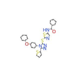 O=C(Nc1cnc(Sc2nnc(-c3cccs3)n2-c2ccc(Oc3ccccc3)cc2)s1)c1ccccc1